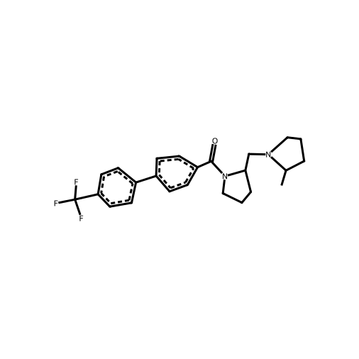 CC1CCCN1CC1CCCN1C(=O)c1ccc(-c2ccc(C(F)(F)F)cc2)cc1